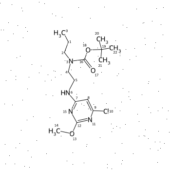 CCCN(CCNc1cc(Cl)nc(OC)n1)C(=O)OC(C)(C)C